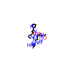 CC(=O)NNC(=O)c1cc(Nc2cc(C)[nH]n2)nc(N2CCCC2c2cc(-c3ccccn3)no2)n1